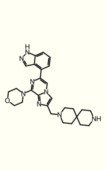 c1cc(-c2cn3cc(CN4CCC5(CCNCC5)CC4)nc3c(N3CCOCC3)n2)c2cn[nH]c2c1